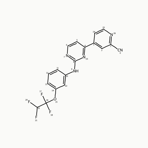 N#Cc1cc(-c2ccnc(Nc3cccc(OC(F)(F)C(F)F)c3)n2)ccn1